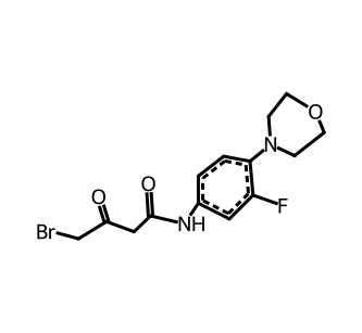 O=C(CBr)CC(=O)Nc1ccc(N2CCOCC2)c(F)c1